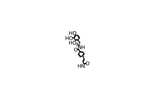 CNC(=O)/C=C/c1ccc(C(=O)NN=Cc2ccc(O)c(O)c2O)cc1